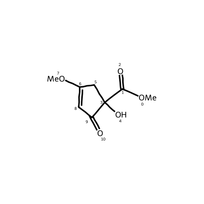 COC(=O)C1(O)CC(OC)=CC1=O